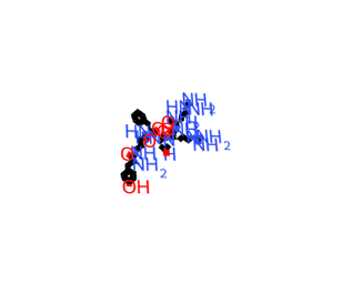 CC(C)C[C@H](NC(=O)[C@H](Cc1ccccc1)NC(=O)CCCNC(=O)[C@@H](N)Cc1ccc(O)cc1)C(=O)N[C@@H](CCCNC(=N)N)C(=O)N[C@@H](CCCNC(=N)N)C(N)=O